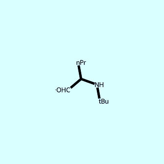 CCCC([C]=O)NC(C)(C)C